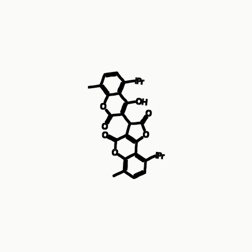 Cc1ccc(C(C)C)c2c(O)c(C3C(=O)Oc4c3c(=O)oc3c(C)ccc(C(C)C)c43)c(=O)oc12